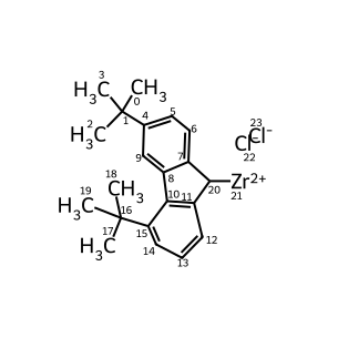 CC(C)(C)c1ccc2c(c1)-c1c(cccc1C(C)(C)C)[CH]2[Zr+2].[Cl-].[Cl-]